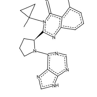 CC1(n2c([C@@H]3CCCN3c3ncnc4[nH]cnc34)nc3cccc(Cl)c3c2=O)CC1